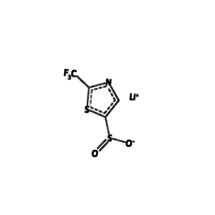 O=S([O-])c1cnc(C(F)(F)F)s1.[Li+]